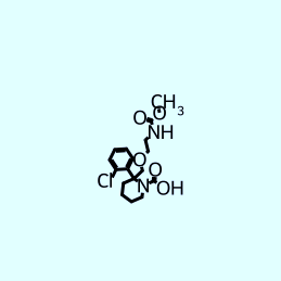 COC(=O)NCCOCC1(c2ccccc2Cl)CCCCN1C(=O)O